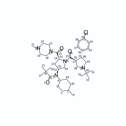 CC1CCC(N(C(=O)C(C)(C)C)[C@H]2C[C@@H](C(=O)N3CCN(C)CC3)N(C(=O)[C@@H]3CN(C(C)(C)C)C[C@H]3c3ccc(Cl)cc3)C2)CC1